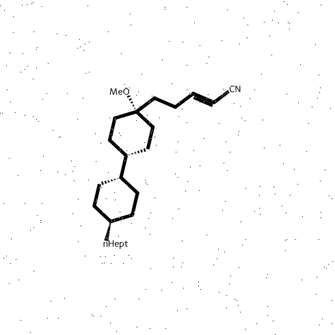 CCCCCCC[C@H]1CC[C@H]([C@H]2CC[C@@](CCC=CC#N)(OC)CC2)CC1